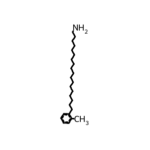 Cc1ccccc1CCCCCCCCCCCCCCCCCCN